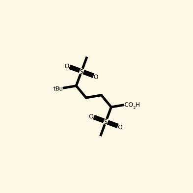 CC(C)(C)C(CCC(C(=O)O)S(C)(=O)=O)S(C)(=O)=O